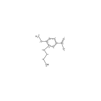 COc1ccc([N+](=O)[O-])cc1OCCO